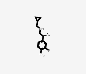 CC(=O)[C@H](CNCC1CC1)c1ccc(C(F)(F)F)c(F)c1